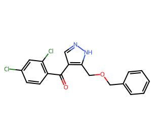 O=C(c1ccc(Cl)cc1Cl)c1cn[nH]c1COCc1ccccc1